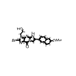 COc1ccc2cc(-c3cn4c(=O)c5nc(Br)n(CCO)c5nc4[nH]3)ccc2c1